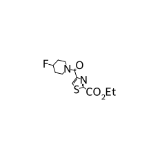 CCOC(=O)c1nc(C(=O)N2CCC(F)CC2)cs1